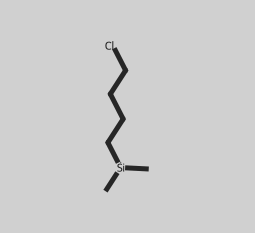 C[Si](C)CCCCCl